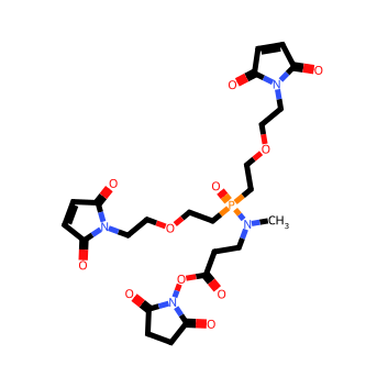 CN(CCC(=O)ON1C(=O)CCC1=O)P(=O)(CCOCCN1C(=O)C=CC1=O)CCOCCN1C(=O)C=CC1=O